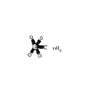 [InH3].[O]=[Ta](=[O])(=[O])(=[O])=[O]